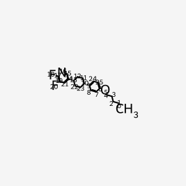 CCCCCOc1ccc([C@H]2CC[C@H](c3cnc(F)c(F)c3)CC2)cc1